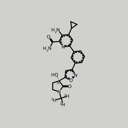 [2H]C([2H])([2H])N1CC[C@@](O)(c2cc(-c3cccc(-c4cc(C5CC5)c(N)c(C(N)=O)n4)c3)no2)C1=O